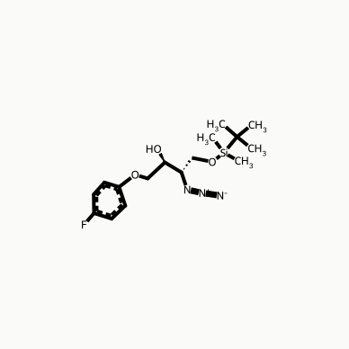 CC(C)(C)[Si](C)(C)OC[C@H](N=[N+]=[N-])[C@H](O)COc1ccc(F)cc1